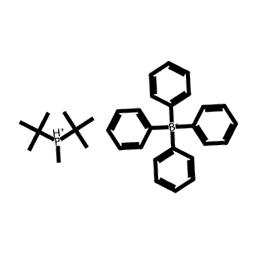 C[PH+](C(C)(C)C)C(C)(C)C.c1ccc([B-](c2ccccc2)(c2ccccc2)c2ccccc2)cc1